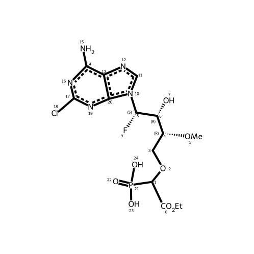 CCOC(=O)C(OC[C@@H](OC)[C@@H](O)[C@H](F)n1cnc2c(N)nc(Cl)nc21)P(=O)(O)O